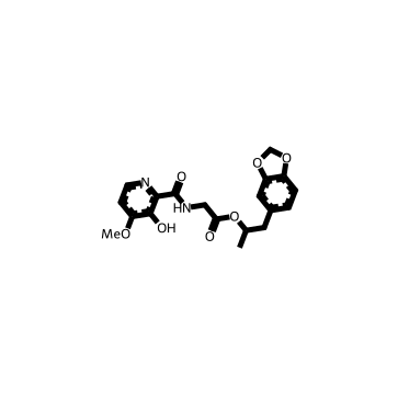 COc1ccnc(C(=O)NCC(=O)OC(C)Cc2ccc3c(c2)OCO3)c1O